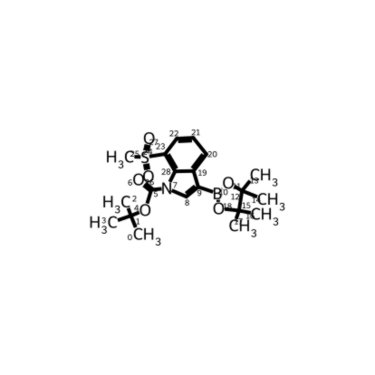 CC(C)(C)OC(=O)n1cc(B2OC(C)(C)C(C)(C)O2)c2cccc(S(C)(=O)=O)c21